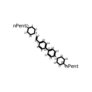 CCCCC[C@H]1CC[C@H](/C=C/c2ccc(-c3ccc([C@H]4CC[C@H](CCCCC)CC4)cc3)cc2)CC1